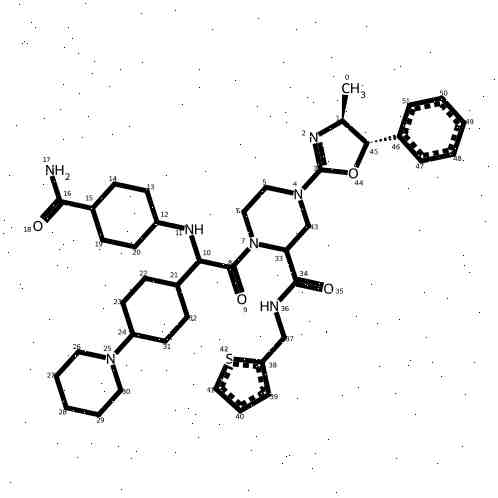 C[C@@H]1N=C(N2CCN(C(=O)C(NC3CCC(C(N)=O)CC3)C3CCC(N4CCCCC4)CC3)C(C(=O)NCc3cccs3)C2)O[C@H]1c1ccccc1